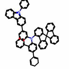 C1=CC(c2ccc(N(c3cccc(-c4ccc5c(c4)c4ccccc4n5-c4ccccc4)c3)c3cccc4c3-c3ccccc3C43c4ccccc4-c4ccccc43)c(-c3ccccc3)c2)=CCC1